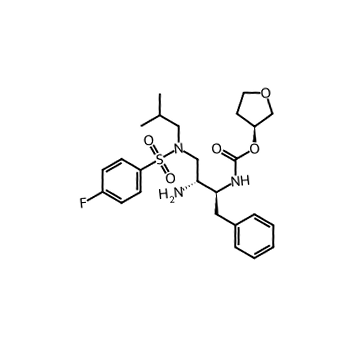 CC(C)CN(C[C@@H](N)[C@H](Cc1ccccc1)NC(=O)O[C@H]1CCOC1)S(=O)(=O)c1ccc(F)cc1